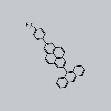 FC(F)(F)c1ccc(-c2cc3ccc4cc(-c5c6ccccc6cc6ccccc56)cc5ccc(c2)c3c45)cc1